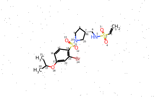 C=CS(=O)(=O)NC[C@H]1CCN(S(=O)(=O)c2ccc(OC(C)C)cc2Br)C1